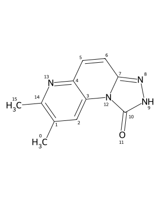 Cc1cc2c(ccc3n[nH]c(=O)n32)nc1C